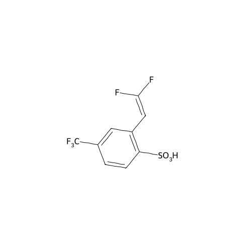 O=S(=O)(O)c1ccc(C(F)(F)F)cc1C=C(F)F